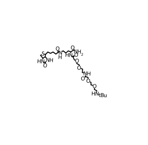 CC(C)(C)NCCOCCOCC(=O)NCCOCCOCC(=O)NC(CCCNC(=O)CCCCC1SCC2NC(=O)NC21)C(N)=O